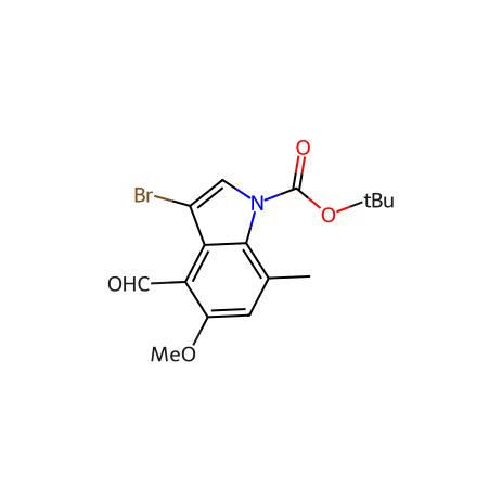 COc1cc(C)c2c(c(Br)cn2C(=O)OC(C)(C)C)c1C=O